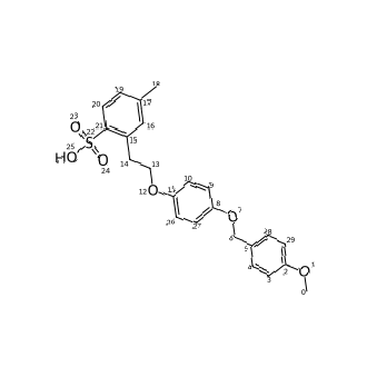 COc1ccc(COc2ccc(OCCc3cc(C)ccc3S(=O)(=O)O)cc2)cc1